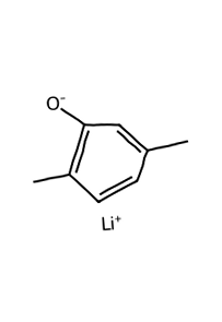 Cc1ccc(C)c([O-])c1.[Li+]